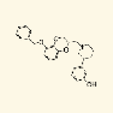 Oc1cccc(C2CCCN(CC3COc4c(OCc5ccccc5)cccc4O3)C2)c1